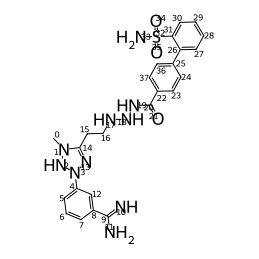 CN1NN(c2cccc(C(=N)N)c2)N=C1CCNNNC(=O)c1ccc(-c2ccccc2S(N)(=O)=O)cc1